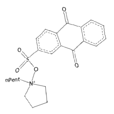 CCCCC[N+]1(OS(=O)(=O)c2ccc3c(c2)C(=O)c2ccccc2C3=O)CCCC1